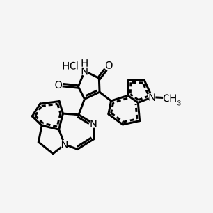 Cl.Cn1ccc2c(C3=C(C4=NC=CN5CCc6cccc4c65)C(=O)NC3=O)cccc21